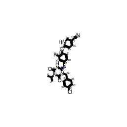 CC(C)n1c(=O)[nH]/c(=N\c2ccc(OC3=CC=C(C#N)CN3)c(F)c2)n(Cc2ccc(Cl)cc2)c1=O